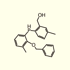 Cc1ccc(Pc2cccc(C)c2OCc2ccccc2)c(CO)c1